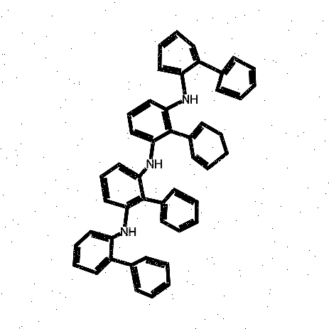 C1=CC(c2c(Nc3ccccc3-c3ccccc3)cccc2Nc2cccc(Nc3ccccc3-c3ccccc3)c2-c2ccccc2)=CCC1